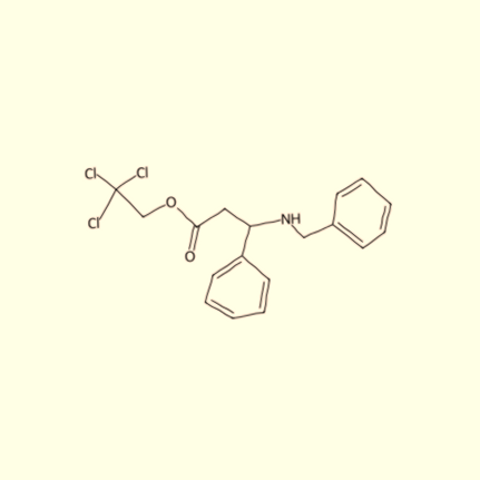 O=C(CC(NCc1ccccc1)c1ccccc1)OCC(Cl)(Cl)Cl